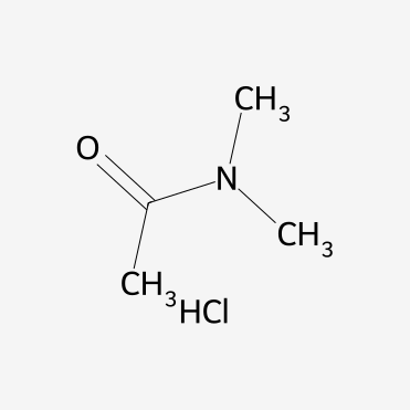 CC(=O)N(C)C.Cl